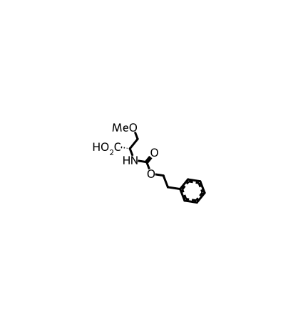 COC[C@H](NC(=O)OCCc1ccccc1)C(=O)O